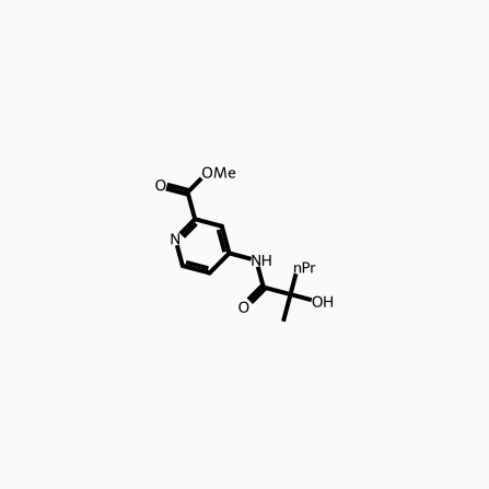 CCCC(C)(O)C(=O)Nc1ccnc(C(=O)OC)c1